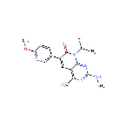 CNc1nc(C)c2cc(-c3ccc(OC)nc3)c(=O)n(C(C)C)c2n1